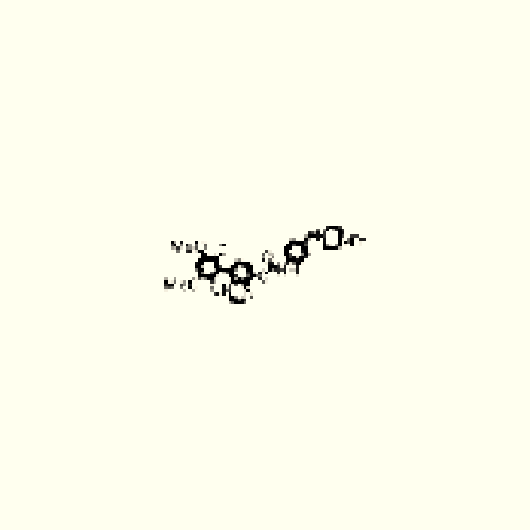 CCN1CCN(Cc2ccc(NC(=O)Oc3ccc(-c4c(Cl)c(OC)cc(OC)c4Cl)c4nccnc34)cc2)CC1